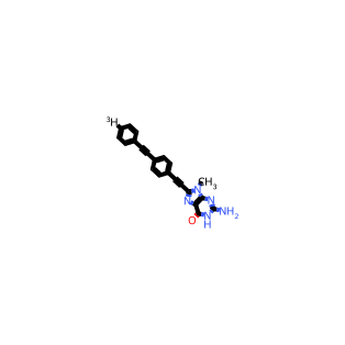 [3H]c1ccc(C#Cc2ccc(C#Cc3nc4c(=O)[nH]c(N)nc4n3C)cc2)cc1